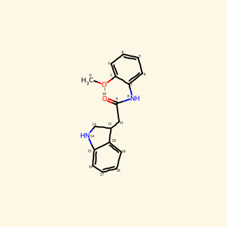 COc1ccccc1NC(=O)CC1CNc2ccccc21